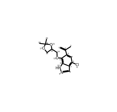 C=C(C)c1cc(Cl)c2cn[nH]c2c1OCC1COC(C)(C)O1